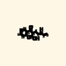 C=CNCCC(C(=O)O)C(=O)c1cccnc1